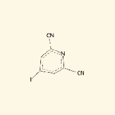 N#Cc1cc(I)cc(C#N)n1